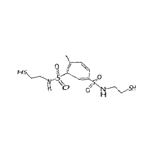 Cc1ccc(S(=O)(=O)NCCS)cc1S(=O)(=O)NCCS